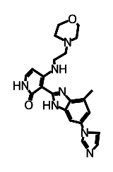 Cc1cc(-n2ccnc2)cc2[nH]c(-c3c(NCCN4CCOCC4)cc[nH]c3=O)nc12